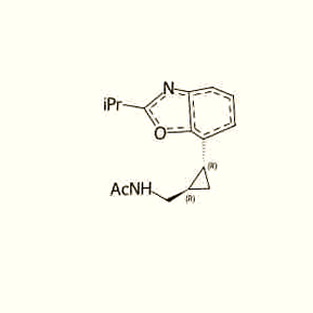 CC(=O)NC[C@@H]1C[C@H]1c1cccc2nc(C(C)C)oc12